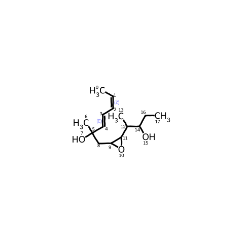 C/C=C\C=C\C(C)(O)CC1OC1C(C)C(O)CC